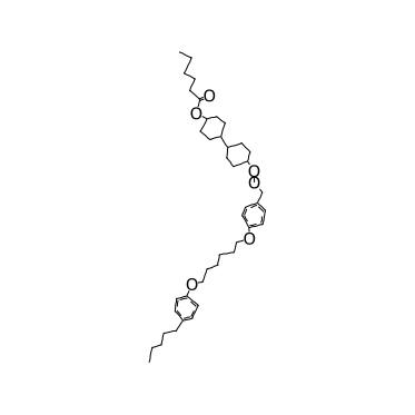 CCCCCC(=O)OC1CCC(C2CCC(OOCc3ccc(OCCCCCCOc4ccc(CCCCC)cc4)cc3)CC2)CC1